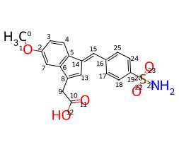 COc1ccc2c(c1)C(CC(=O)O)=CC2=Cc1ccc(S(N)(=O)=O)cc1